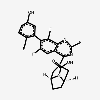 O=C(O)N1[C@@H]2CC[C@H]1CN(c1nc(F)nc3c(F)c(-c4cc(O)ccc4F)c(F)cc13)C2